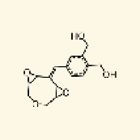 OCc1ccc(C=C2C3OC3COCC3OC23)cc1CO